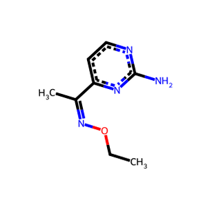 CCO/N=C(/C)c1ccnc(N)n1